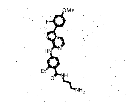 CCc1cc(Nc2nccn3c(-c4ccc(OC)cc4F)cnc23)ccc1C(=O)NCCCN